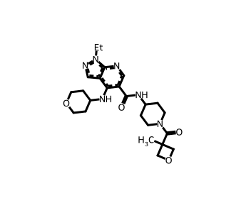 CCn1ncc2c(NC3CCOCC3)c(C(=O)NC3CCN(C(=O)C4(C)COC4)CC3)cnc21